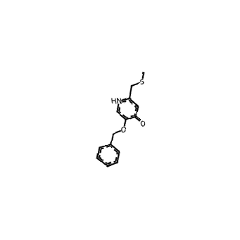 CSCc1cc(=O)c(OCc2ccccc2)c[nH]1